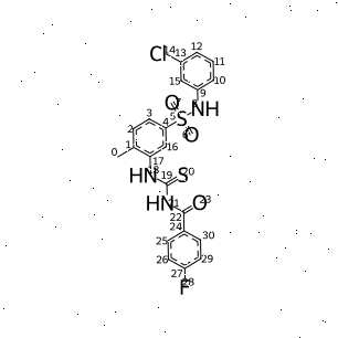 Cc1ccc(S(=O)(=O)Nc2cccc(Cl)c2)cc1NC(=S)NC(=O)c1ccc(F)cc1